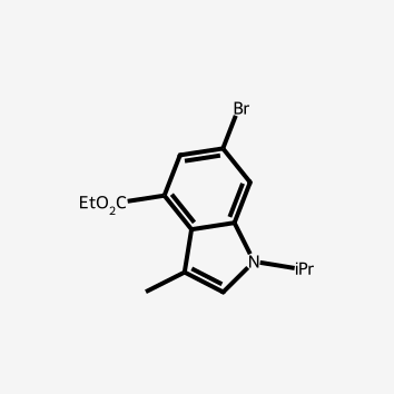 CCOC(=O)c1cc(Br)cc2c1c(C)cn2C(C)C